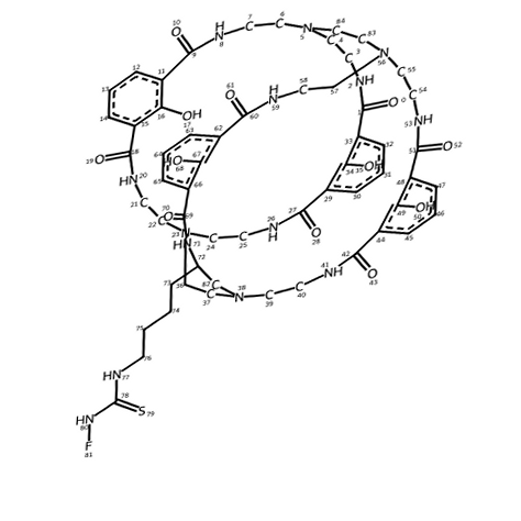 O=C1NCCN2CCNC(=O)c3cccc(c3O)C(=O)NCCN(CCNC(=O)c3cccc1c3O)CCN1CCNC(=O)c3cccc(c3O)C(=O)NCCN(CCNC(=O)c3cccc(c3O)C(=O)NC(CCCCNC(=S)NF)C1)CC2